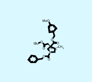 COc1ccc(COC(=O)[C@@]2(CC(=O)OC(C)(C)C)CN(C(=O)OCc3ccccc3)C[C@H]2C)cc1